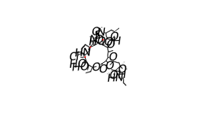 CCCNC[C@]1(O)[C@H](C)O[C@@H](OC2C(C)C(=O)OC(CC)C(C)(O)C(O)C(C)NCC(C)CC(C)(O)C(O[C@@H]3O[C@H](C)C[C@H](N(C)S(=O)(=O)N(C)Cc4ccc(Cl)cc4)[C@H]3O)C2C)C[C@@]1(C)OC